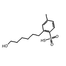 Cc1ccc(S(=O)(=O)S)c(CCCCCCO)c1